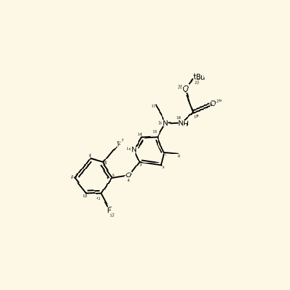 Cc1cc(Oc2c(F)cccc2F)ncc1N(C)NC(=O)OC(C)(C)C